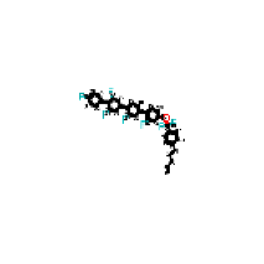 CCCCCc1ccc(C(F)(F)Oc2ccc(-c3ccc(-c4cc(F)c(-c5ccc(F)cc5)c(F)c4)c(F)c3)c(F)c2)cc1